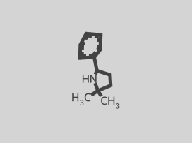 CC1(C)CCC(c2ccccc2)N1